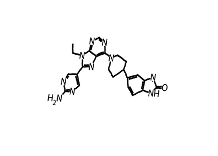 CCn1c(-c2cnc(N)nc2)nc2c(N3CCC(c4ccc5c(c4)[N]C(=O)N5)CC3)ncnc21